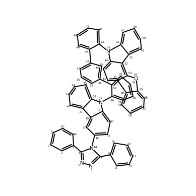 c1ccc(-c2nnc(-c3ccccc3)n2-c2ccc3c(c2)c2ccccc2n3-c2ccccc2-c2cccc(-c3ccccc3-n3c4ccccc4c4c5oc6ccccc6c5ccc43)c2)cc1